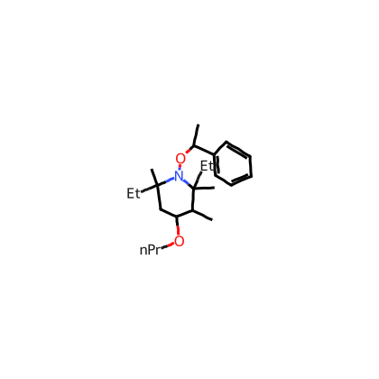 CCCOC1CC(C)(CC)N(OC(C)c2ccccc2)C(C)(CC)C1C